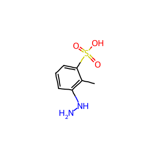 Cc1c(NN)cccc1S(=O)(=O)O